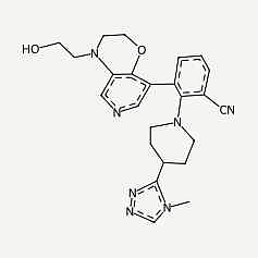 Cn1cnnc1C1CCN(c2c(C#N)cccc2-c2cncc3c2OCCN3CCO)CC1